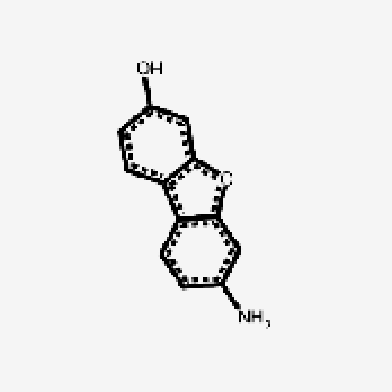 Nc1ccc2c(c1)oc1cc(O)ccc12